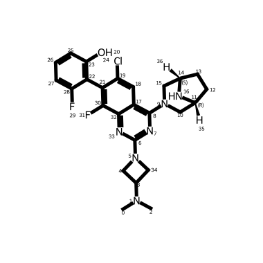 CN(C)C1CN(c2nc(N3C[C@H]4CC[C@@H](C3)N4)c3cc(Cl)c(-c4c(O)cccc4F)c(F)c3n2)C1